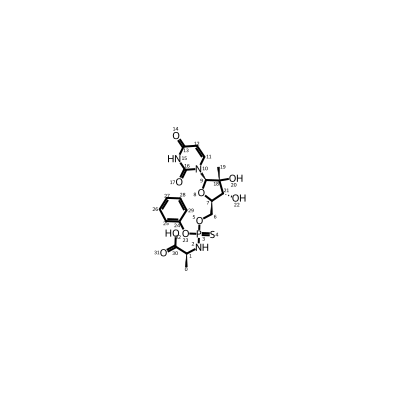 C[C@H](NP(=S)(OC[C@H]1O[C@@H](n2ccc(=O)[nH]c2=O)[C@](C)(O)[C@@H]1O)Oc1ccccc1)C(=O)O